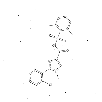 Cc1cccc(C)c1S(=O)(=O)NC(=O)c1cn(C)c(-c2ncccc2Cl)n1